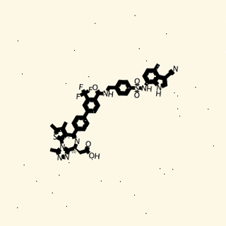 Cc1sc2c(c1C)C(c1ccc(-c3ccc(C(=O)NCc4ccc(S(=O)(=O)Nc5ccc(C)c6c(C#N)c[nH]c56)cc4)c(C(F)(F)F)c3)cc1)=N[C@@H](CC(=O)O)c1nnc(C)n1-2